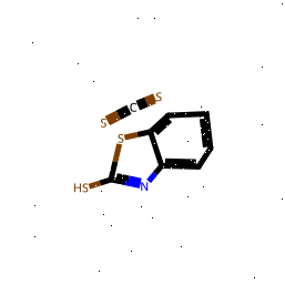 S=C=S.Sc1nc2ccccc2s1